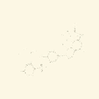 Cc1ccc(S(=O)(=O)Nc2cc(-c3ccc4ncc5c(c4c3F)C3(CCC3)C(=O)N5)cnc2OCCCN(C)C)cc1